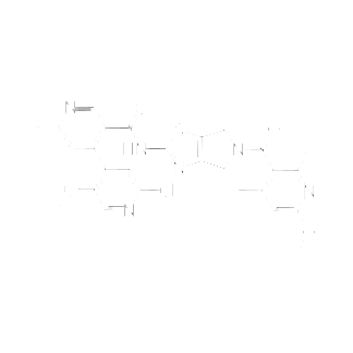 COc1cc(C)c(C(=O)N2Cc3nc(NC(=O)c4cnc(C)cc4-c4cc(Cl)ncc4OC)sc3C2)c(Cl)n1